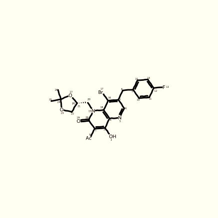 CC(=O)c1c(O)c2ncc(Cc3ccc(F)cc3)c(Br)c2n(C[C@@H]2COC(C)(C)O2)c1=O